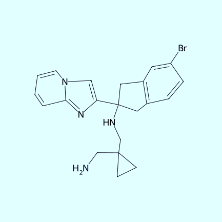 NCC1(CNC2(c3cn4ccccc4n3)Cc3ccc(Br)cc3C2)CC1